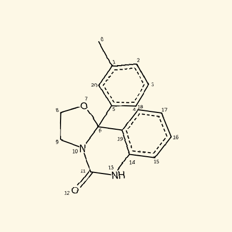 Cc1cccc(C23OCCN2C(=O)Nc2ccccc23)c1